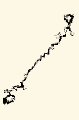 O=C(CCSCCCCCCCCCCSCCC(=O)COC(=O)c1cccnc1)COC(=O)c1cccnc1